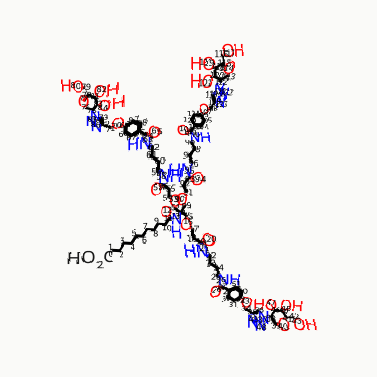 O=C(O)CCCCCCCCCCC(=O)NC(COCCC(=O)NCCCCNC(=O)c1ccc(OCc2cn([C@H]3CO[C@H](CO)[C@H](O)[C@@H]3O)nn2)cc1)(COCCC(=O)NCCCCNC(=O)c1ccc(OCc2cn([C@H]3CO[C@H](CO)[C@H](O)[C@@H]3O)nn2)cc1)COCCC(=O)NCCCCNC(=O)c1ccc(OCc2cn([C@H]3CO[C@H](CO)[C@H](O)[C@@H]3O)nn2)cc1